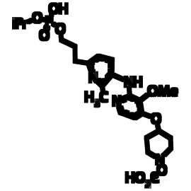 COc1c(OC2CCN(OC(=O)O)CC2)ccnc1Nc1ccc(CCCOP(=O)(O)OC(C)C)nc1C